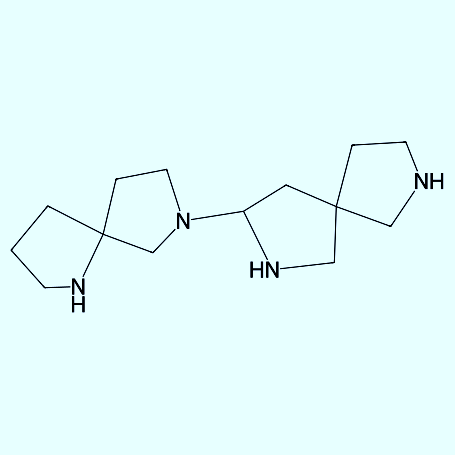 C1CNC2(C1)CCN(C1CC3(CCNC3)CN1)C2